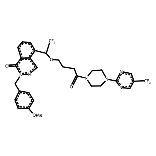 COc1ccc(Cn2ncc3c(C(OCCCC(=O)N4CCN(c5ncc(C(F)(F)F)cn5)CC4)C(F)(F)F)cccc3c2=O)cc1